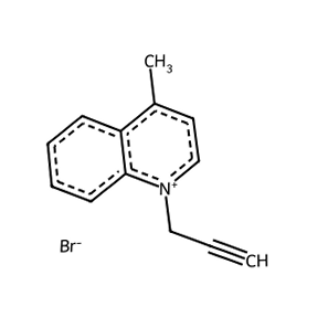 C#CC[n+]1ccc(C)c2ccccc21.[Br-]